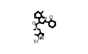 CCn1ncc(CN(C)C(=O)c2cc(-c3ccccc3Cl)nc3c(C)cccc23)c1C